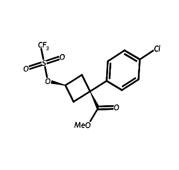 COC(=O)[C@]1(c2ccc(Cl)cc2)C[C@H](OS(=O)(=O)C(F)(F)F)C1